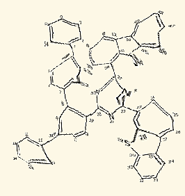 c1ccc(-c2ccc(-c3cc(-c4ccccc4)ccc3-c3nc(-c4cccc5c4sc4ccccc45)nc(-c4cccc5c4sc4ccccc45)n3)cc2)cc1